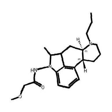 CCCN1CCC[C@@H]2c3cccc4c3C(C[C@H]21)C(C)N4NC(=O)COC